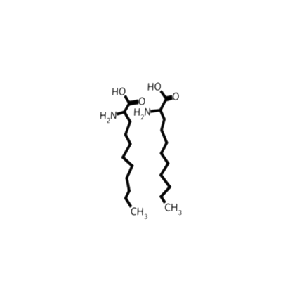 CCCCCCCCCC(N)C(=O)O.CCCCCCCCCC(N)C(=O)O